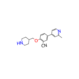 Cc1cc(-c2ccc(OCC3CCNCC3)c(C#N)c2)ccn1